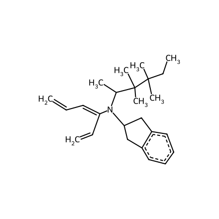 C=C/C=C(\C=C)N(C1Cc2ccccc2C1)C(C)C(C)(C)C(C)(C)CC